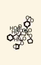 O=C(N[C@@H](Cc1ccccc1)[C@H](CN(OC1CCCC1)S(=O)(=O)c1ccc2c(c1)OCO2)OP(=O)(O)O)Oc1ccoc1